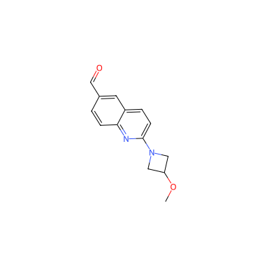 COC1CN(c2ccc3cc(C=O)ccc3n2)C1